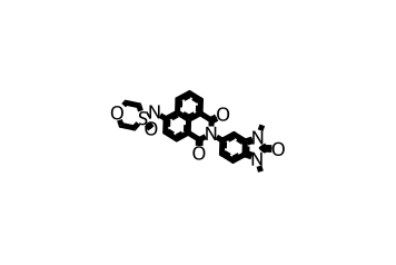 Cn1c(=O)n(C)c2cc(N3C(=O)c4cccc5c(N=S6(=O)CCOCC6)ccc(c45)C3=O)ccc21